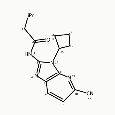 CC(C)CC(=O)Nc1nc2ccc(C#N)nc2n1C1CCC1